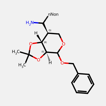 CCCCCCCCCC(N)[C@H]1COC(OCc2ccccc2)[C@H]2OC(C)(C)O[C@H]12